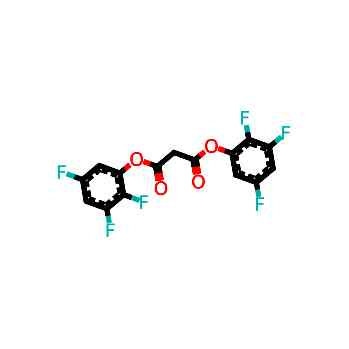 O=C(CC(=O)Oc1cc(F)cc(F)c1F)Oc1cc(F)cc(F)c1F